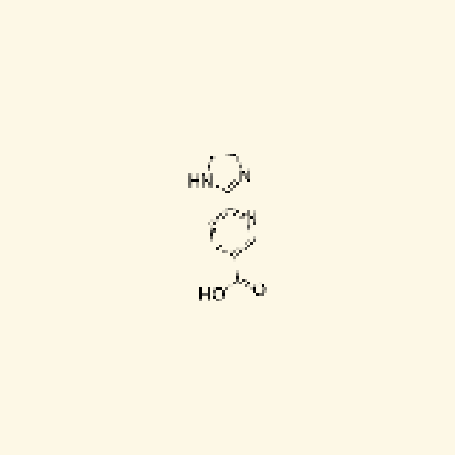 C1=NCCN1.O=C(O)c1cccnc1